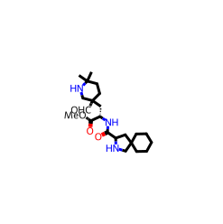 COC(=O)[C@H](CC1(C=O)CCC(C)(C)NC1)NC(=O)C1CC2(CCCCC2)CN1